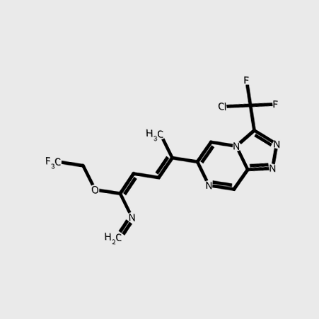 C=N/C(=C\C=C(/C)c1cn2c(C(F)(F)Cl)nnc2cn1)OCC(F)(F)F